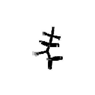 CC([SH](=O)=O)S(=O)(=O)C(F)(F)F